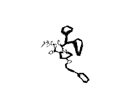 COC(=O)[C@@H]1C[C@H](OCC#Cc2ccccc2)CN1C(=O)C(c1ccccc1)c1ccccc1